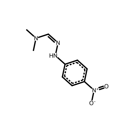 CN(C)/C=N\Nc1ccc([N+](=O)[O-])cc1